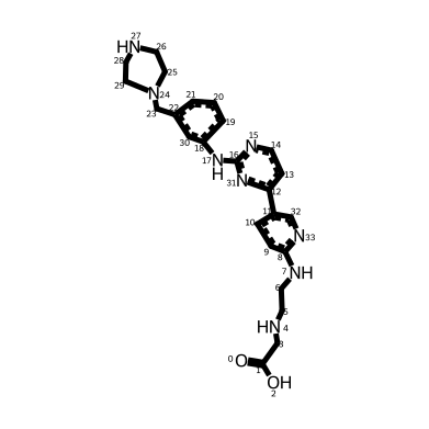 O=C(O)CNCCNc1ccc(-c2ccnc(Nc3cccc(CN4CCNCC4)c3)n2)cn1